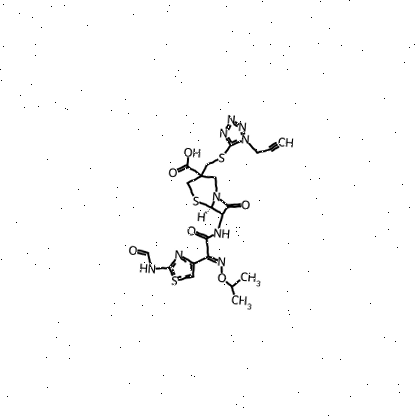 C#CCn1nnnc1SCC1(C(=O)O)CS[C@@H]2C(NC(=O)C(=NOC(C)C)c3csc(NC=O)n3)C(=O)N2C1